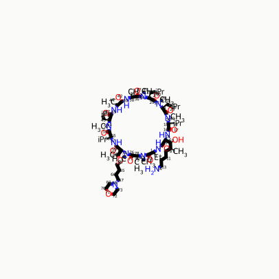 CC[C@@H]1NC(=O)[C@H]([C@H](O)[C@H](C)CCCCN)NC(=O)[C@H](C(C)C)N(C)C(=O)[C@H](CC(C)C)N(C)C(=O)[C@H](CC(C)C)N(C)C(=O)[C@@H](C)NC(=O)[C@H](C)NC(=O)[C@H](CC(C)C)N(C)C(=O)[C@H](C(C)C)NC(=O)[C@H]([C@@H](C)OCCCCN2CCOCC2)N(C)C(=O)[C@@H](C)N(C)C1=O